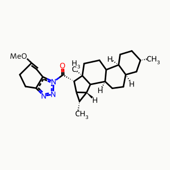 COC1=Cc2c(nnn2C(=O)[C@H]2C3[C@H](C4[C@@H]5CC[C@@H]6C[C@@H](C)CC[C@@H]6C5CC[C@@]42C)[C@@H]3C)CC1